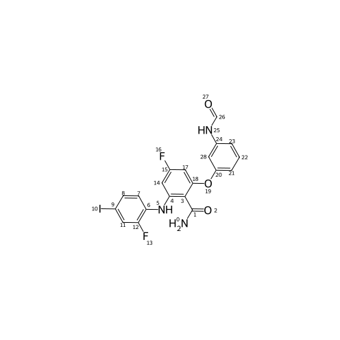 NC(=O)c1c(Nc2ccc(I)cc2F)cc(F)cc1Oc1cccc(NC=O)c1